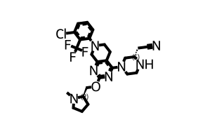 CN1CCC[C@@H]1COc1nc2c(c(N3CCN[C@@H](CC#N)C3)n1)CCN(c1cccc(Cl)c1C(F)(F)F)C2